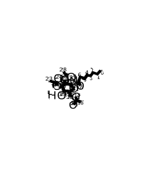 CCCCCCCC(=O)N[C@@H]1OC(COC(C)=O)[C@H](O)[C@H](OC(C)=O)C1OC(C)=O